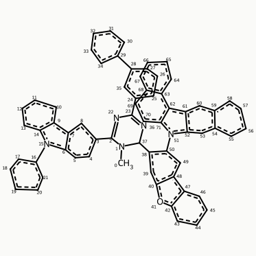 CN1C(c2ccc3c(c2)c2ccccc2n3-c2ccccc2)=NC(c2cccc(-c3ccccc3)c2)=NC1c1cc2oc3ccccc3c2cc1-n1c2cc3ccccc3cc2c2c3ccccc3ccc21